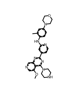 COc1cncc2nc(-c3ccnc(Nc4ccc(N5CCOCC5)cc4C)c3)nc(N3CCNCC3)c12